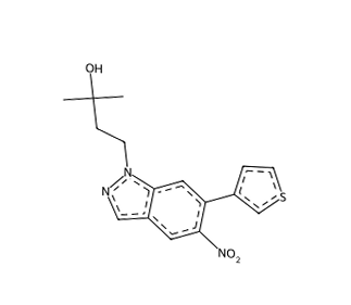 CC(C)(O)CCn1ncc2cc([N+](=O)[O-])c(-c3ccsc3)cc21